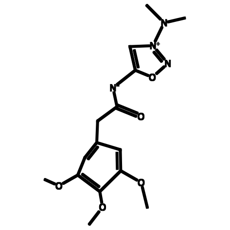 COc1cc(CC(=O)[N-]c2c[n+](N(C)C)no2)cc(OC)c1OC